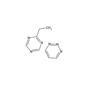 CCc1ncncn1.c1cnnnc1